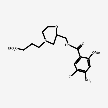 CCOC(=O)CCCN1CCOC(CNC(=O)c2cc(Cl)c(N)cc2OC)C1